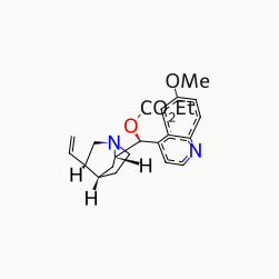 C=C[C@@H]1C[N@@]2CC[C@H]1C[C@H]2[C@@H](OC(=O)OCC)c1ccnc2ccc(OC)cc12